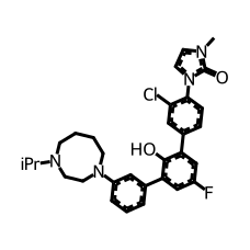 CC(C)N1CCCCN(c2cccc(-c3cc(F)cc(-c4ccc(-n5ccn(C)c5=O)c(Cl)c4)c3O)c2)CC1